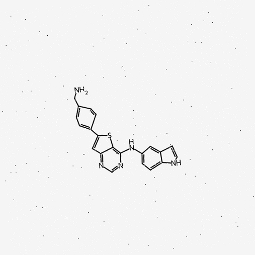 NCc1ccc(-c2cc3ncnc(Nc4ccc5[nH]ccc5c4)c3s2)cc1